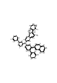 c1ccc(-c2cccc(N(c3ccc(-c4ccccc4)c(-c4ccc5ccccc5c4)c3)c3ccc4c(ccc5c6cnccc6oc45)c3)c2)cc1